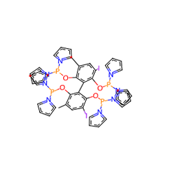 Cc1cc(I)c(OP(n2cccc2)n2cccc2)c(-c2c(OP(n3cccc3)n3cccc3)c(C)cc(I)c2OP(n2cccc2)n2cccc2)c1OP(n1cccc1)n1cccc1